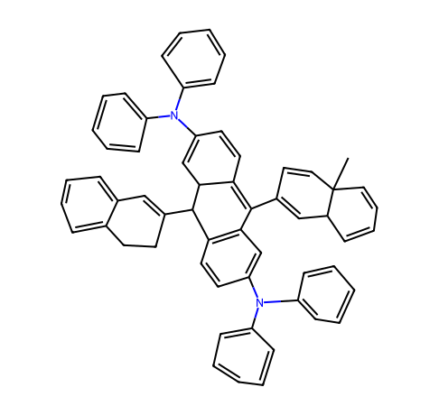 CC12C=CC=CC1C=C(C1=C3C=CC(N(c4ccccc4)c4ccccc4)=CC3C(C3=Cc4ccccc4CC3)c3ccc(N(c4ccccc4)c4ccccc4)cc31)C=C2